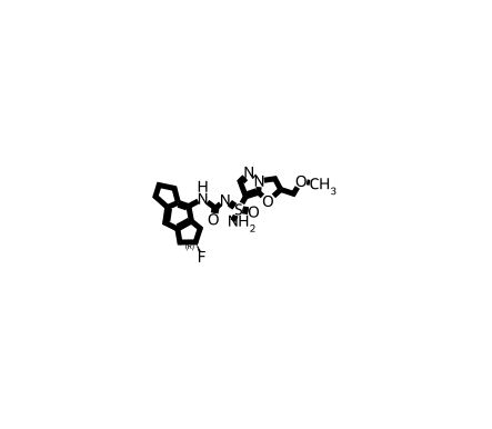 COCC1Cn2ncc(S(N)(=O)=NC(=O)Nc3c4c(cc5c3C[C@H](F)C5)CCC4)c2O1